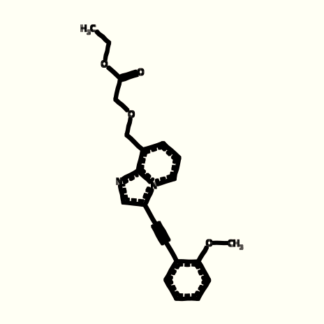 CCOC(=O)COCc1cccn2c(C#Cc3ccccc3OC)cnc12